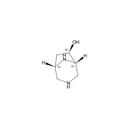 O[C@@H]1C[C@H]2CNC[C@@H]1N2